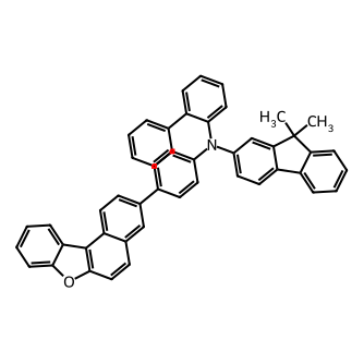 CC1(C)c2ccccc2-c2ccc(N(c3ccc(-c4ccc5c(ccc6oc7ccccc7c65)c4)cc3)c3ccccc3-c3ccccc3)cc21